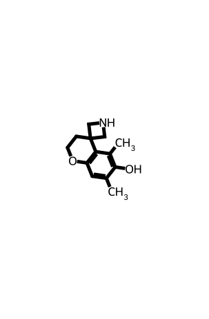 Cc1cc2c(c(C)c1O)C1(CCO2)CNC1